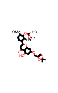 CCCc1c(-c2cc(=O)c3c(O)cc(OCC4=COC(C)(C)O4)cc3o2)ccc(OC)c1OC(C=O)OCC